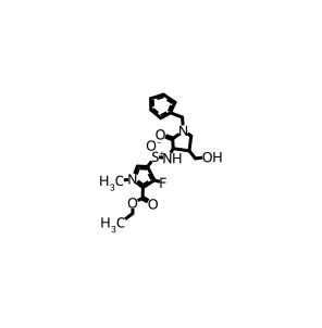 CCOC(=O)c1c(F)c([S+]([O-])NC2C(=O)N(Cc3ccccc3)CC2CO)cn1C